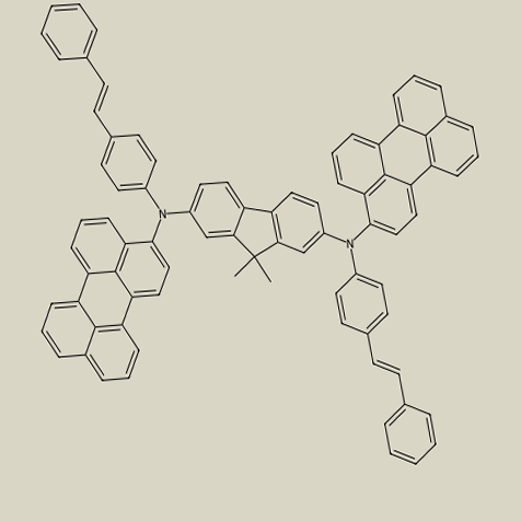 CC1(C)c2cc(N(c3ccc(/C=C/c4ccccc4)cc3)c3ccc4c5cccc6cccc(c7cccc3c74)c65)ccc2-c2ccc(N(c3ccc(/C=C/c4ccccc4)cc3)c3ccc4c5cccc6cccc(c7cccc3c74)c65)cc21